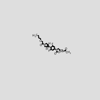 CCCCOCC(=O)N1C[C@@H]2[C@H](C1)[C@H]2c1c(F)cc(N2C[C@H](CNC(C)=O)OC2=O)cc1F